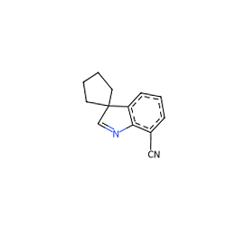 N#Cc1cccc2c1N=CC21CCCC1